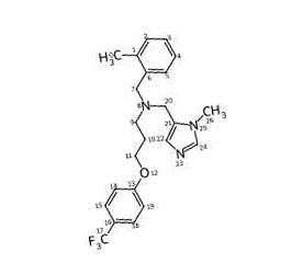 Cc1ccccc1CN(CCCOc1ccc(C(F)(F)F)cc1)Cc1cncn1C